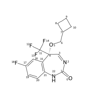 O=C1N=C[C@](OCC2CCC2)(C(F)(F)F)c2cc(F)ccc2N1